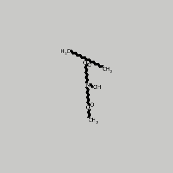 CCCCCCCCC(CCCCCCCC)OC(=O)CCCCCCCN(CCO)CCCCCCCC(=O)OCCCCC